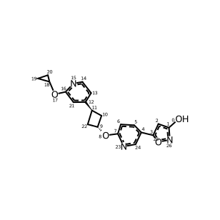 Oc1cc(-c2ccc(O[C@H]3C[C@H](c4ccnc(OC5CC5)c4)C3)nc2)on1